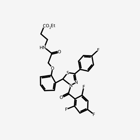 CCOC(=O)CCNC(=O)COc1ccccc1C1SC(c2ccc(F)cc2)=NN1C(=O)c1c(F)cc(F)cc1F